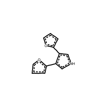 c1coc(-c2c[nH]cc2-c2ccco2)c1